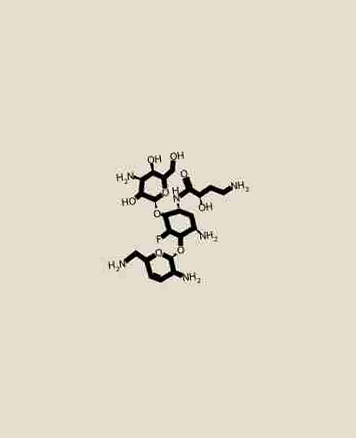 NCC[C@H](O)C(=O)N[C@@H]1C[C@H](N)C(O[C@H]2OC(CN)C=CC2N)C(F)[C@H]1O[C@H]1OC(CO)[C@H](O)[C@H](N)C1O